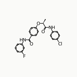 C[C@H](Oc1ccc(C(=O)Nc2cccc(F)c2)cc1)C(=O)Nc1ccc(Cl)cc1